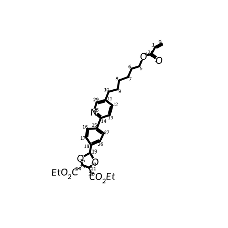 C=CC(=O)OCCCCCCc1ccc(-c2ccc(C3O[C@@H](C(=O)OCC)[C@H](C(=O)OCC)O3)cc2)nc1